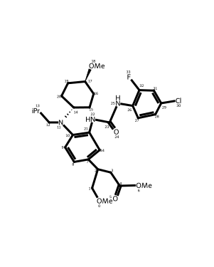 COCC(CC(=O)OC)c1ccc(N(CC(C)C)[C@H]2CC[C@H](OC)CC2)c(NC(=O)Nc2ccc(Cl)cc2F)c1